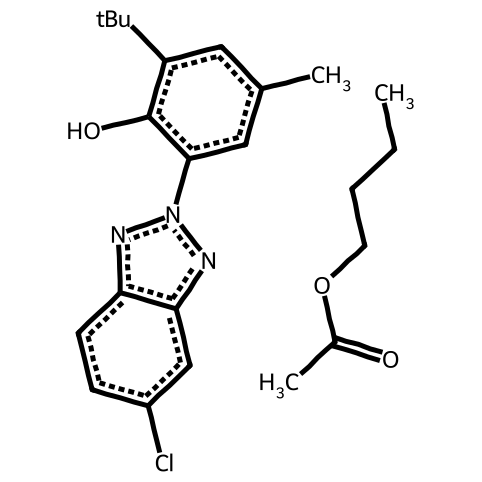 CCCCOC(C)=O.Cc1cc(-n2nc3ccc(Cl)cc3n2)c(O)c(C(C)(C)C)c1